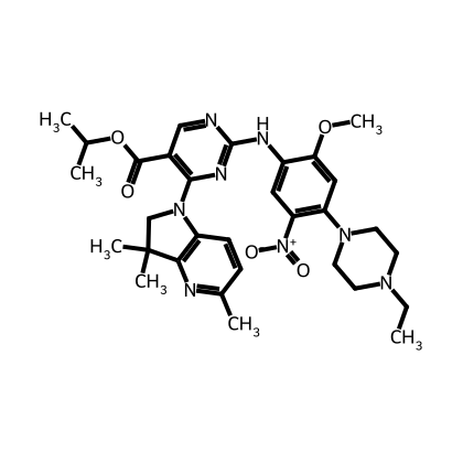 CCN1CCN(c2cc(OC)c(Nc3ncc(C(=O)OC(C)C)c(N4CC(C)(C)c5nc(C)ccc54)n3)cc2[N+](=O)[O-])CC1